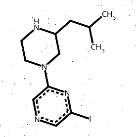 CC(C)CC1CN(c2cncc(I)n2)CCN1